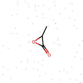 CC1OC1=O